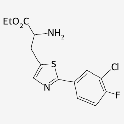 CCOC(=O)C(N)Cc1cnc(-c2ccc(F)c(Cl)c2)s1